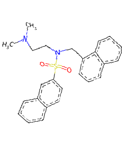 CN(C)CCN(Cc1cccc2ccccc12)S(=O)(=O)c1ccc2ccccc2c1